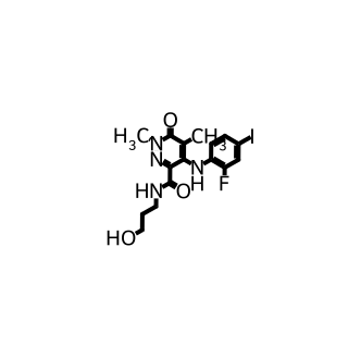 Cc1c(Nc2ccc(I)cc2F)c(C(=O)NCCCO)nn(C)c1=O